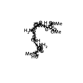 COC(=O)c1cc(C(=O)NCCNC(=O)c2cccc(OCC(N)OCCOCC(=O)NCC#Cc3cn(CCC(CO)OC)c(=O)nc3N)c2)cc(C(=O)OC)c1